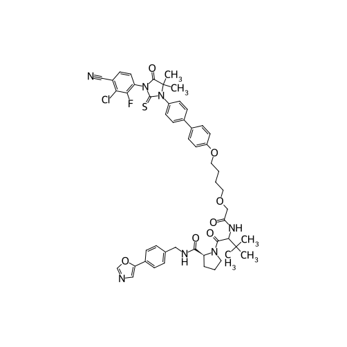 CC(C)(C)C(NC(=O)COCCCCOc1ccc(-c2ccc(N3C(=S)N(c4ccc(C#N)c(Cl)c4F)C(=O)C3(C)C)cc2)cc1)C(=O)N1CCC[C@H]1C(=O)NCc1ccc(-c2cnco2)cc1